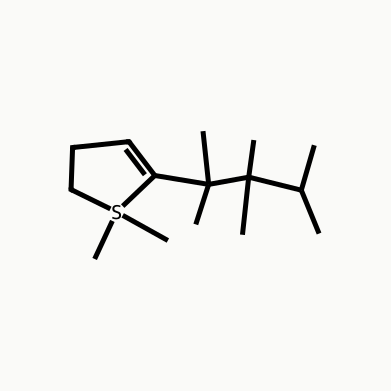 CC(C)C(C)(C)C(C)(C)C1=CCCS1(C)C